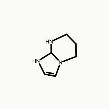 [C]1CCN2C=CNC2N1